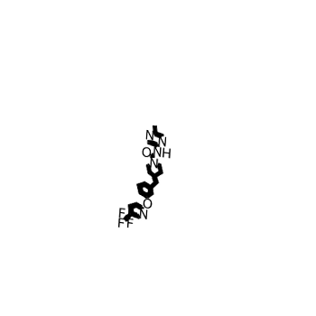 Cc1cnc(NC(=O)N2CCC(=Cc3cccc(Oc4ccc(C(F)(F)F)cn4)c3)CC2)cn1